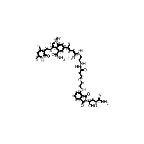 CCN(CCNNC(=O)CCOCCNc1cccc2c1C(=O)N(C(C=O)CCC(N)=O)C2=O)/C(N)=C/C=C(\C)c1cc(C(N)=O)c2c(CCc3c(C)cc(C)[nH]c3=O)cn(C(C)C)c2c1